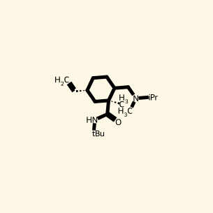 C=C[C@@H]1CCC(CN(C)C(C)C)[C@@](C)(C(=O)NC(C)(C)C)C1